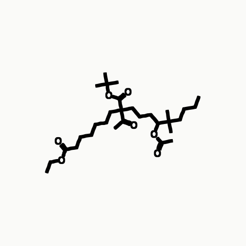 CCCCC(C)(C)C(CCCC(CCCCCCC(=O)OCC)(C(C)=O)C(=O)OC(C)(C)C)OC(C)=O